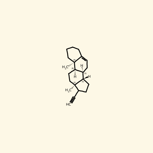 C#CC1CC[C@H]2[C@@H]3CC=C4CCCC[C@]4(C)[C@@H]3CC[C@]12C